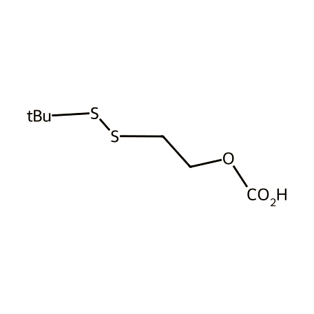 CC(C)(C)SSCCOC(=O)O